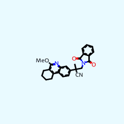 COc1nc2cc(C(C)(C#N)CN3C(=O)c4ccccc4C3=O)ccc2c2c1CCCC2